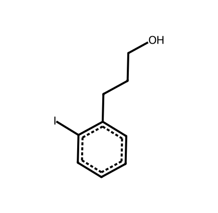 OCCCc1ccccc1I